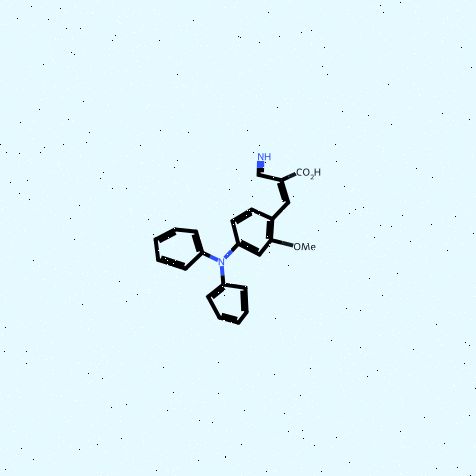 COc1cc(N(c2ccccc2)c2ccccc2)ccc1/C=C(\C=N)C(=O)O